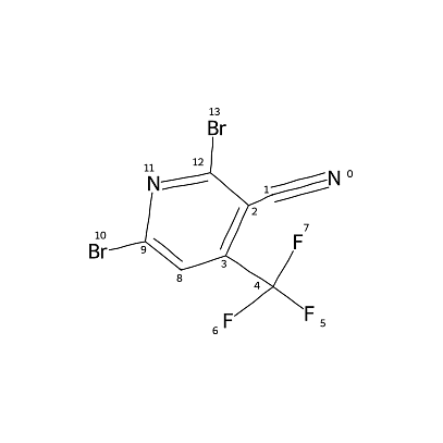 N#Cc1c(C(F)(F)F)cc(Br)nc1Br